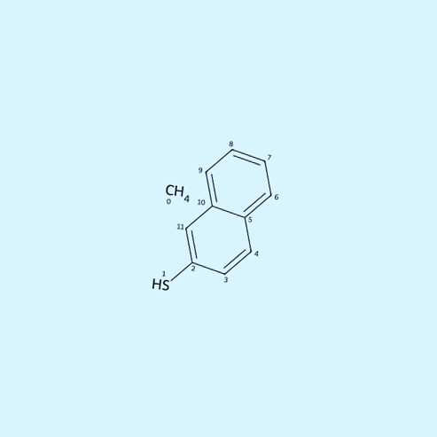 C.Sc1ccc2ccccc2c1